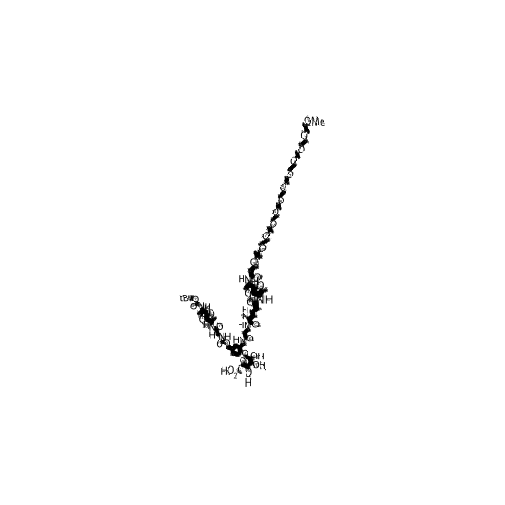 COCCOCCOCCOCCOCCOCCOCCOCCOCCOCCOCCOCCC(=O)N[C@H]1CO[C@H]2[C@@H]1OC[C@@H]2NC(=O)CCC[C@H](N)C(=O)NCCC(=O)NCc1cc(COC(=O)NCC(=O)N[C@H]2CO[C@H]3[C@@H]2OC[C@@H]3NC(=O)OC(C)(C)C)ccc1O[C@@H]1O[C@H](C(=O)O)[C@@H](O)[C@H](O)[C@H]1O